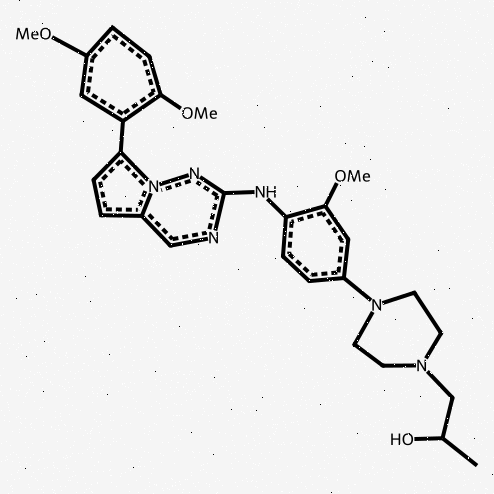 COc1ccc(OC)c(-c2ccc3cnc(Nc4ccc(N5CCN(CC(C)O)CC5)cc4OC)nn23)c1